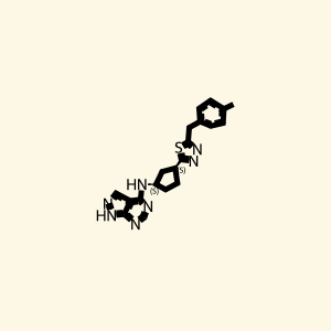 Cc1ccc(Cc2nnc([C@H]3CC[C@H](Nc4ncnc5[nH]ncc45)C3)s2)cc1